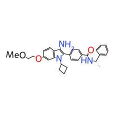 COCCOc1ccc2c(N)c(-c3ccc(C(=O)N[C@@H](C)c4ccccc4)cc3)n(C3CCC3)c2c1